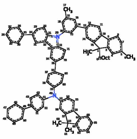 CCCCCCCCC1(C)c2cc(C)ccc2-c2ccc(-c3cc(C)cc(-n4c5ccc(-c6ccccc6)cc5c5cc(-c6ccc(N(c7ccc(-c8ccccc8)cc7)c7ccc8c(c7)C(C)(C)c7ccccc7-8)cc6)ccc54)c3)cc21